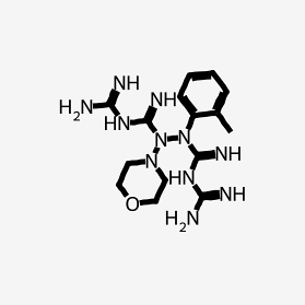 Cc1ccccc1N(C(=N)NC(=N)N)N(C(=N)NC(=N)N)N1CCOCC1